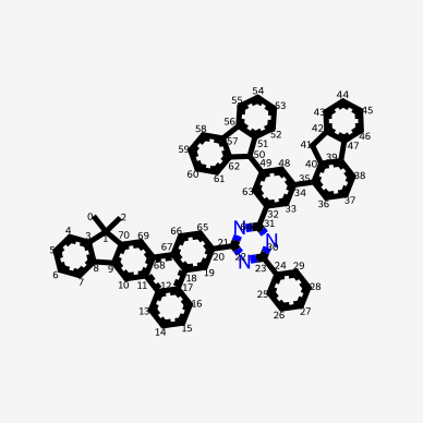 CC1(C)c2ccccc2-c2cc3c4ccccc4c4cc(-c5nc(-c6ccccc6)nc(-c6cc(-c7cccc8c7Cc7ccccc7-8)cc(C7c8ccccc8-c8ccccc87)c6)n5)ccc4c3cc21